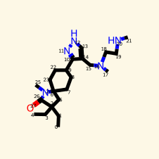 CCC1(CC)CC2(CCC(c3n[nH]cc3CN(C)CCNC)CC2)N(C)C1=O